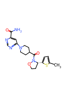 Cc1ccc([C@@H]2CCON2C(=O)C2CCN(c3cc(C(N)=O)ncn3)CC2)s1